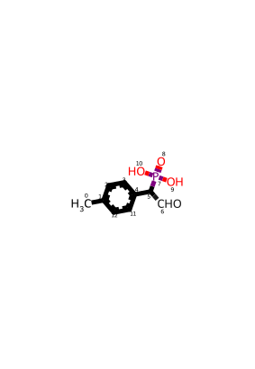 Cc1ccc(C(C=O)P(=O)(O)O)cc1